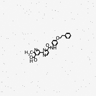 Cc1ncc(-c2nccc(C(=O)Nc3ccc(OCCc4ccccc4)cc3)n2)cc1C(=O)O